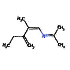 C=C(CC)/C(C)=C\N=C(C)C